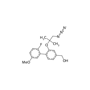 COc1ccc(F)c(-c2ccc(CO)cc2OC(C)(C)CN=[N+]=[N-])c1